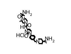 C[C@H](N)C1CCN(Cc2ccc(-n3ccc(NC(=O)N4CCN(C(=O)C(C)(C)N)[C@H](C)C4)nc3=O)cc2)CC1.Cl